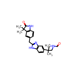 CC(C)(CNC=O)c1ccc2[nH]c(Cc3ccc4c(c3)C(C)(C)C(=O)N4)nc2c1